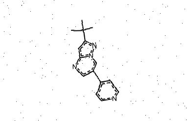 CC(C)(C)c1cc2ncc(-c3ccncc3)cn2n1